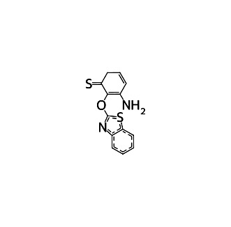 NC1=C(Oc2nc3ccccc3s2)C(=S)CC=C1